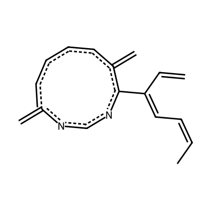 C=C/C(=C\C=C/C)c1ncnc(=C)ccccc1=C